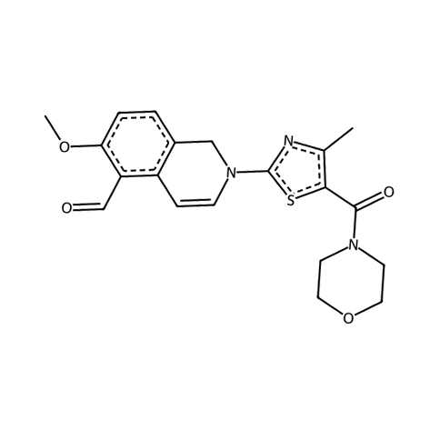 COc1ccc2c(c1C=O)C=CN(c1nc(C)c(C(=O)N3CCOCC3)s1)C2